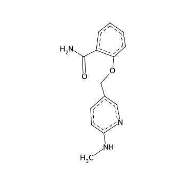 CNc1ccc(COc2ccccc2C(N)=O)cn1